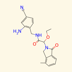 CCOC(C(=O)NCc1ccc(C#N)cc1N)N1Cc2c(C)cccc2C1=O